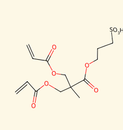 C=CC(=O)OCC(C)(COC(=O)C=C)C(=O)OCCCS(=O)(=O)O